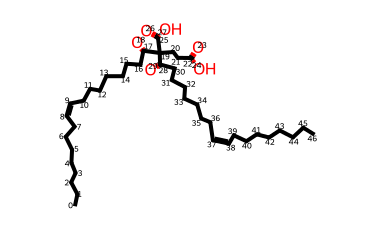 CCCCCCCC/C=C\CCCCCCCC(=O)C(CCC(=O)O)(C(=O)O)C(=O)CCCCCCC/C=C\CCCCCCCC